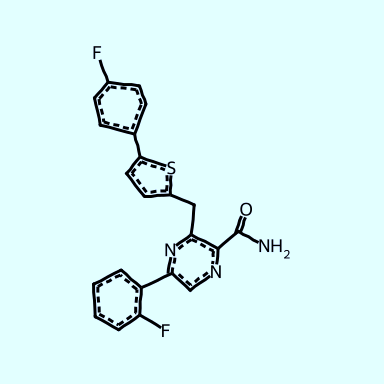 NC(=O)c1ncc(-c2ccccc2F)nc1Cc1ccc(-c2ccc(F)cc2)s1